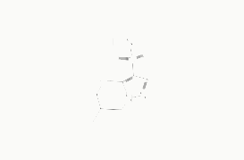 CC1COc2c(S(N)(=O)=O)cnn2C1